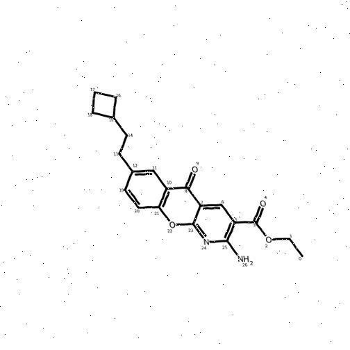 CCOC(=O)c1cc2c(=O)c3cc(CCC4CCC4)ccc3oc2nc1N